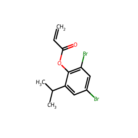 C=CC(=O)Oc1c(Br)cc(Br)cc1C(C)C